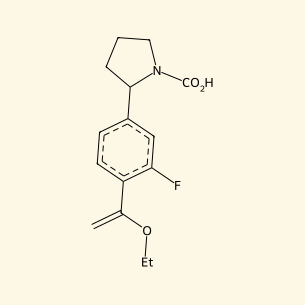 C=C(OCC)c1ccc(C2CCCN2C(=O)O)cc1F